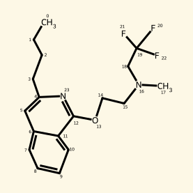 CCCCc1cc2ccccc2c(OCCN(C)CC(F)(F)F)n1